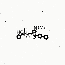 CON=C1CC(CCC(=O)NC[C@@H](O)c2ccccc2)N(C(=O)c2ccc(-c3ccccc3)cc2)C1